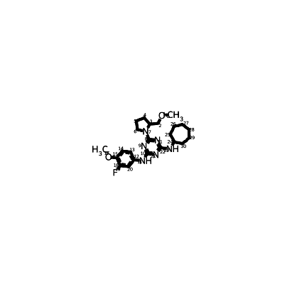 COCC1CCCN1c1nc(Nc2ccc(OC)c(F)c2)nc(NC2CCCCCC2)n1